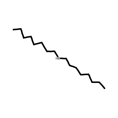 CCCCCCCCBCCCCCCCC